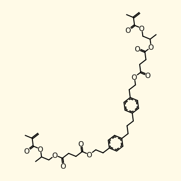 C=C(C)C(=O)OCC(C)OC(=O)CCC(=O)OCCc1ccc(CCCc2ccc(CCOC(=O)CCC(=O)OCC(C)OC(=O)C(=C)C)cc2)cc1